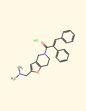 CN(C)Cc1cc2c(o1)CCN(C(=O)/C(=C/c1ccccc1)c1ccccc1)C2.Cl